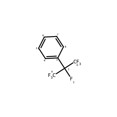 FC(F)(F)C(F)(c1c[c]ccc1)C(F)(F)F